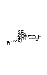 CC(C)CCCCCCS(=O)(=O)Nc1ccc(C(F)(F)F)cc1OCc1ccc(C(=O)O)cc1